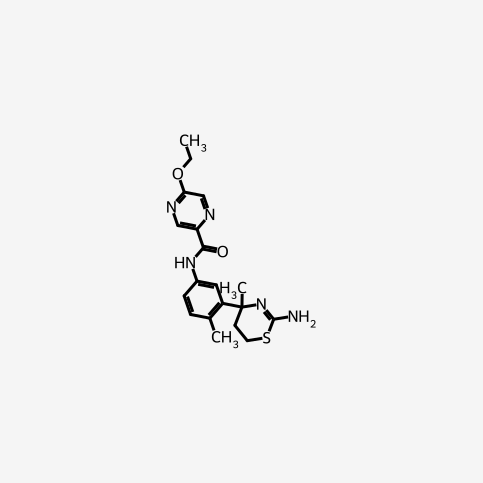 CCOc1cnc(C(=O)Nc2ccc(C)c(C3(C)CCSC(N)=N3)c2)cn1